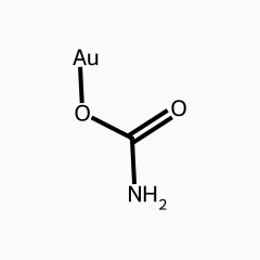 NC(=O)[O][Au]